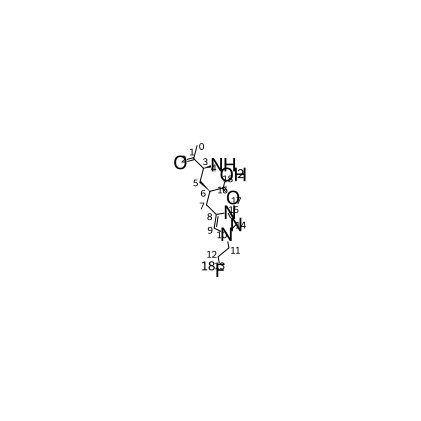 CC(=O)[C@@H](N)C[C@H](Cc1cn(CC[18F])nn1)C(=O)O